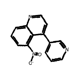 O=[N+]([O-])c1cccc2nccc(-c3cccnc3)c12